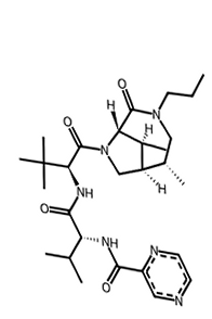 CCCN1C[C@H](C)[C@H]2CN(C(=O)[C@@H](NC(=O)[C@H](NC(=O)c3cnccn3)C(C)C)C(C)(C)C)[C@H](C1=O)[C@H]2C